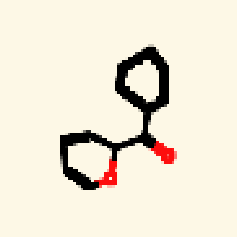 O=C(c1ccccc1)C1C=CC=CO1